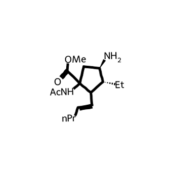 CCCC=CC1[C@@H](CC)[C@H](N)CC1(NC(C)=O)C(=O)OC